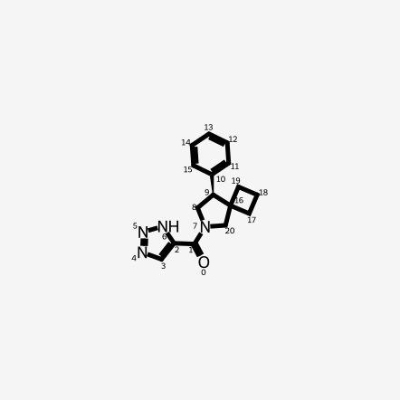 O=C(c1cnn[nH]1)N1C[C@@H](c2ccccc2)C2(CCC2)C1